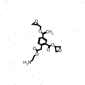 C=C(OCC1CO1)c1ccc(CC(=O)OCCN)c(C(=O)OC2COC2)c1